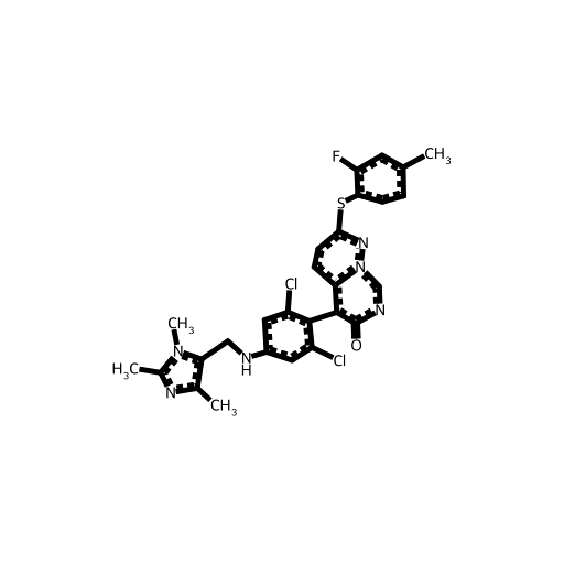 Cc1ccc(Sc2ccc3c(-c4c(Cl)cc(NCc5c(C)nc(C)n5C)cc4Cl)c(=O)ncn3n2)c(F)c1